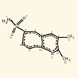 Cc1cc2cc(S(N)(=O)=O)ccc2nc1C